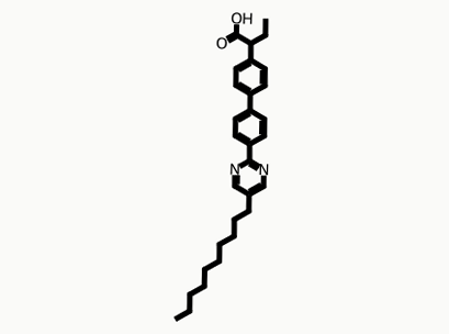 CCCCCCCCCCc1cnc(-c2ccc(-c3ccc(C(CC)C(=O)O)cc3)cc2)nc1